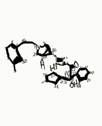 Cc1cccc(CN2CC3[C@H](CNC(=O)[C@@](O)(c4ccccc4)C4CCCC4)[C@H]3C2)c1